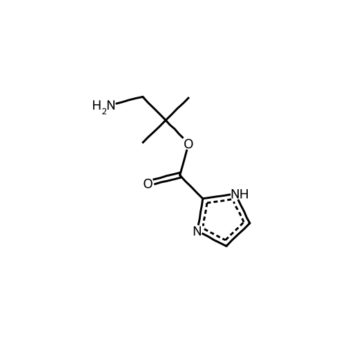 CC(C)(CN)OC(=O)c1ncc[nH]1